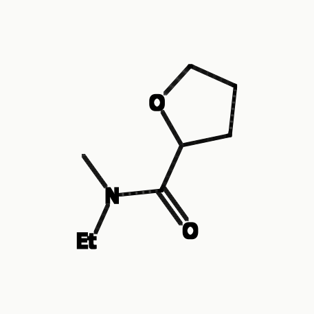 CCN(C)C(=O)C1CCCO1